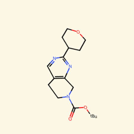 CC(C)(C)OC(=O)N1CCc2cnc(C3CCOCC3)nc2C1